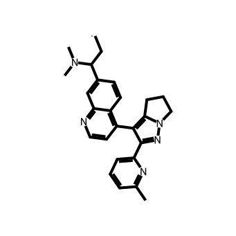 [CH2]CC(c1ccc2c(-c3c(-c4cccc(C)n4)nn4c3CCC4)ccnc2c1)N(C)C